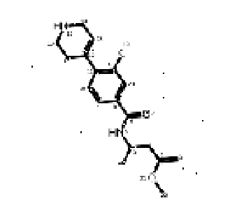 C=C(CC(C)NC(=O)c1ccc(C2=CCNCC2)c(Cl)c1)OC